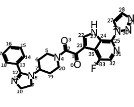 O=C(C(=O)N1CCC(N2CCN=C2c2ccccc2)CC1)c1c[nH]c2c(-n3ccnn3)ncc(F)c12